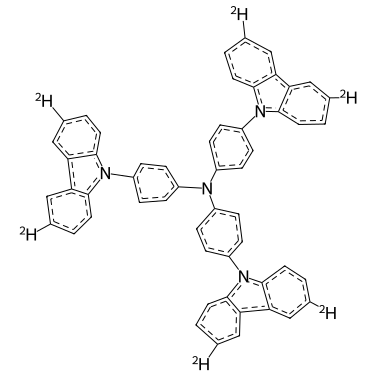 [2H]c1ccc2c(c1)c1cc([2H])ccc1n2-c1ccc(N(c2ccc(-n3c4ccc([2H])cc4c4cc([2H])ccc43)cc2)c2ccc(-n3c4ccc([2H])cc4c4cc([2H])ccc43)cc2)cc1